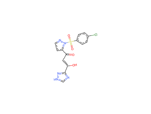 O=C(C=C(O)c1nc[nH]n1)c1ccnn1S(=O)(=O)c1ccc(Cl)cc1